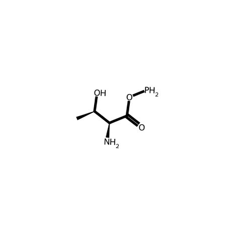 C[C@@H](O)[C@H](N)C(=O)OP